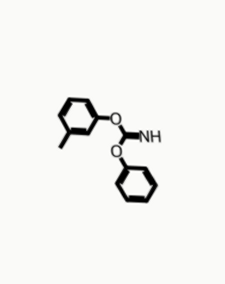 Cc1cccc(OC(=N)Oc2ccccc2)c1